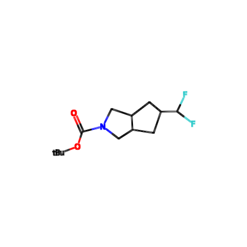 CC(C)(C)OC(=O)N1CC2CC(C(F)F)CC2C1